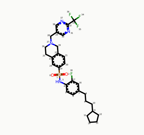 O=S(=O)(Nc1ccc(CCCC2CCCC2)cc1F)c1ccc2c(c1)CCN(Cc1cnc(C(F)(F)F)nc1)C2